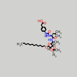 CCCCCCCCCCCCO[C@H]1O[C@H]([C@H](C)NC(=O)[C@H](CC(C)C)NC(=O)Nc2ccc(CC(=O)O)cc2)[C@@H]2OC(C)(C)O[C@H]12